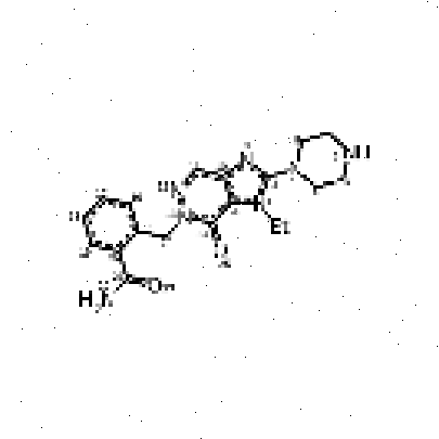 CCn1c(N2CCNCC2)nc2cnn(Cc3ccccc3C(N)=O)c(=O)c21